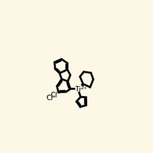 C1=C[CH]([Ti+2](=[C]2CCCCC2)[c]2cccc3c2Cc2ccccc2-3)C=C1.[Cl-].[Cl-]